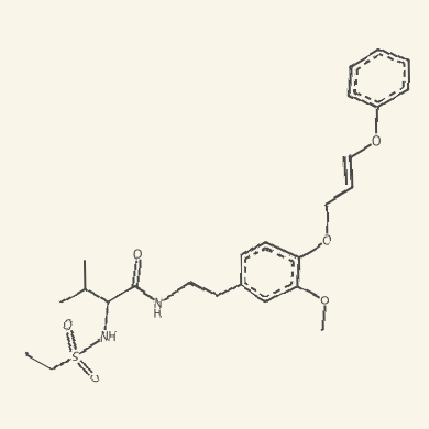 CCS(=O)(=O)NC(C(=O)NCCc1ccc(OCC=COc2ccccc2)c(OC)c1)C(C)C